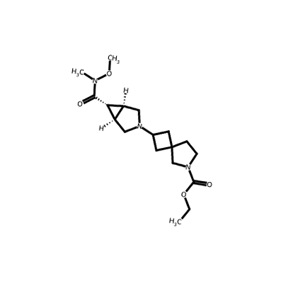 CCOC(=O)N1CCC2(CC(N3C[C@@H]4[C@H](C3)[C@H]4C(=O)N(C)OC)C2)C1